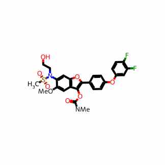 CNC(=O)Oc1c(-c2ccc(Oc3ccc(F)c(F)c3)cc2)oc2cc(N(CCO)S(C)(=O)=O)c(OC)cc12